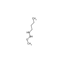 CCCCNBOC